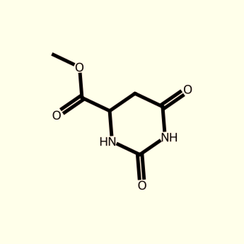 COC(=O)C1CC(=O)NC(=O)N1